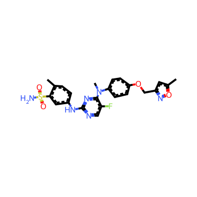 Cc1cc(COc2ccc(N(C)c3nc(Nc4ccc(C)c(S(N)(=O)=O)c4)ncc3F)cc2)no1